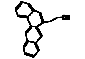 OCCc1cc2ccccc2c2cc3ccccc3cc12